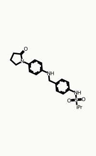 CC(C)S(=O)(=O)Nc1ccc(CNc2ccc(N3CCCC3=O)cc2)cc1